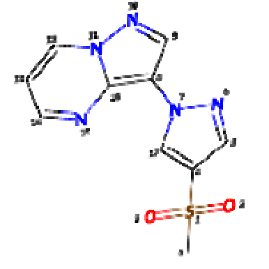 CS(=O)(=O)c1cnn(-c2cnn3cccnc23)c1